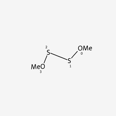 COSSOC